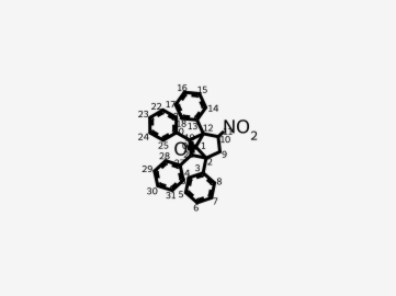 O=C1C2(c3ccccc3)CC([N+](=O)[O-])C1(c1ccccc1)C(c1ccccc1)=C2c1ccccc1